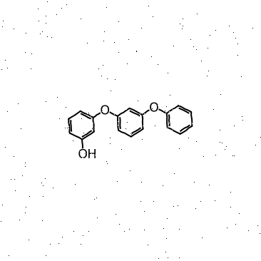 Oc1cccc(Oc2cccc(Oc3ccccc3)c2)c1